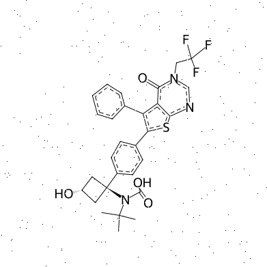 CC(C)(C)N(C(=O)O)[C@]1(c2ccc(-c3sc4ncn(CC(F)(F)F)c(=O)c4c3-c3ccccc3)cc2)C[C@@H](O)C1